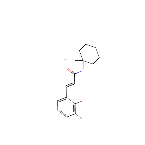 O=C(/C=C/c1cccc(Br)c1Br)NC1(C(=O)O)CCCCC1